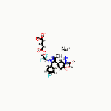 Cc1nn(CC(F)(F)COC(=O)CCCC(=O)[O-])c(-c2ccc(F)cc2)c1-c1ccc2c(c1)NC(=O)CO2.[Na+]